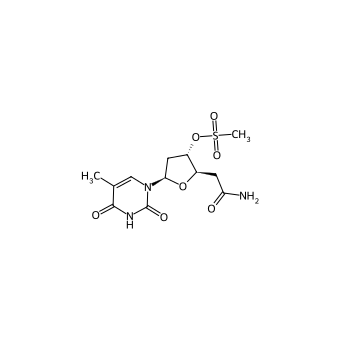 Cc1cn([C@H]2C[C@H](OS(C)(=O)=O)[C@@H](CC(N)=O)O2)c(=O)[nH]c1=O